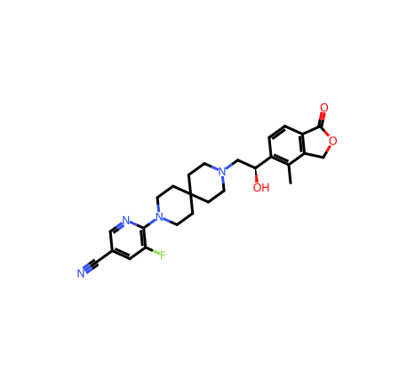 Cc1c([C@@H](O)CN2CCC3(CC2)CCN(c2ncc(C#N)cc2F)CC3)ccc2c1COC2=O